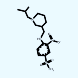 C[C](C)CN1CCCC(CNc2ccc(S(N)(=O)=O)cc2[N+](=O)[O-])C1